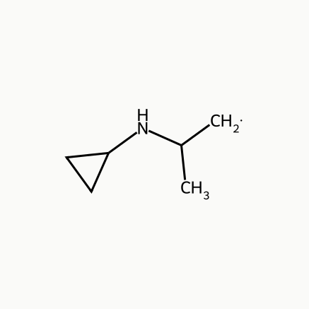 [CH2]C(C)NC1CC1